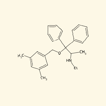 CCNC(C)C(OCc1cc(C)cc(C)c1)(c1ccccc1)c1ccccc1